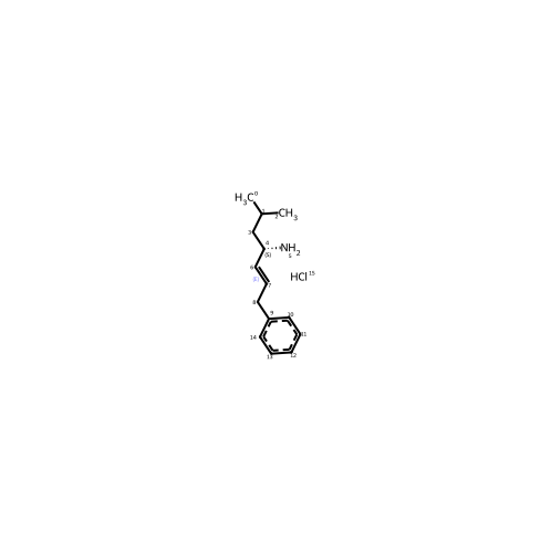 CC(C)C[C@H](N)/C=C/Cc1ccccc1.Cl